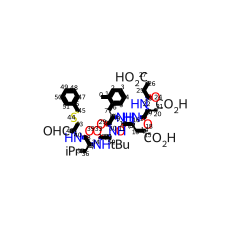 Cc1ccccc1C[C@H](NC(=O)[C@H](CCC(=O)O)NC(=O)[C@H](CC(=O)O)NC(=O)CCC(=O)O)C(=O)N[C@H](C(=O)N[C@@H](CC(C)C)C(=O)NC(C=O)CSCc1ccccc1)C(C)(C)C